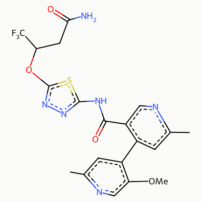 COc1cnc(C)cc1-c1cc(C)ncc1C(=O)Nc1nnc(OC(CC(N)=O)C(F)(F)F)s1